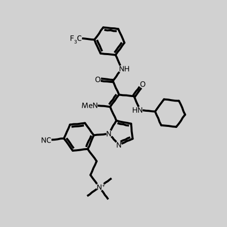 CN/C(=C(\C(=O)Nc1cccc(C(F)(F)F)c1)C(=O)NC1CCCCC1)c1ccnn1-c1ccc(C#N)cc1CC[N+](C)(C)C